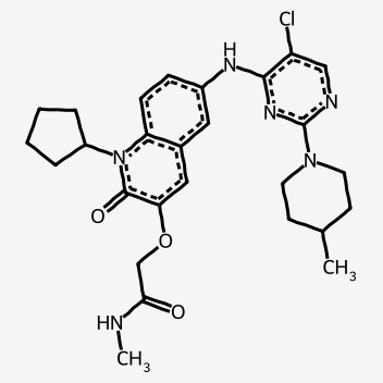 CNC(=O)COc1cc2cc(Nc3nc(N4CCC(C)CC4)ncc3Cl)ccc2n(C2CCCC2)c1=O